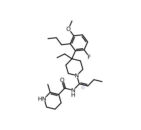 CC/C=C(/NC(=O)C1=C(C)NCCC1)N1CCC(CC)(c2c(F)ccc(OC)c2CCC)CC1